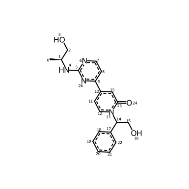 C[C@@H](CO)Nc1nccc(-c2ccn(C(CO)c3ccccc3)c(=O)c2)n1